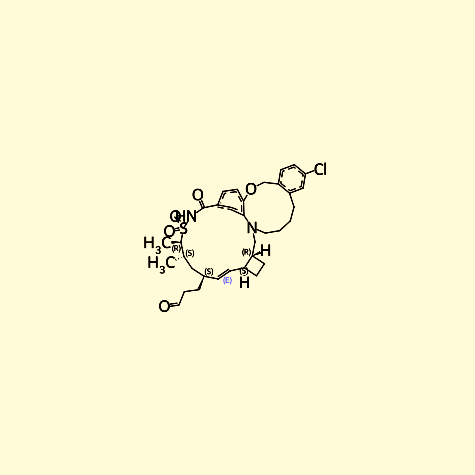 C[C@@H]1[C@@H](C)C[C@H](CCC=O)/C=C/[C@@H]2CC[C@H]2CN2CCCCc3cc(Cl)ccc3COc3ccc(cc32)C(=O)NS1(=O)=O